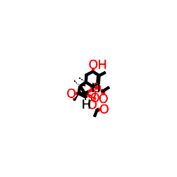 CC(=O)OO[C@]1(OC(C)=O)C[C@]2(C)[C@@]3(C)CC(O)C(C)=C[C@H]3O[C@H]1[C@@]21CO1